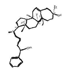 CC[C@]1(O)CC[C@@]2(C)C(=CC[C@H]3[C@@H]4CC[C@H]([C@H](C)CCC(O)c5ccccc5)[C@@]4(C)CC[C@@H]32)C1